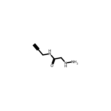 C#CCNC(=O)CNN